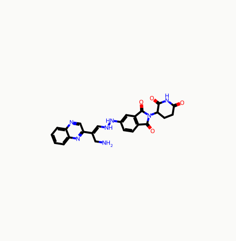 NC/C(=C\NNc1ccc2c(c1)C(=O)N(C1CCC(=O)NC1=O)C2=O)c1cnc2ccccc2n1